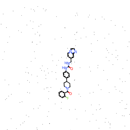 O=C(NCc1ccn2ccnc2c1)Nc1ccc(C2CCN(C(=O)c3ccccc3F)CC2)cc1